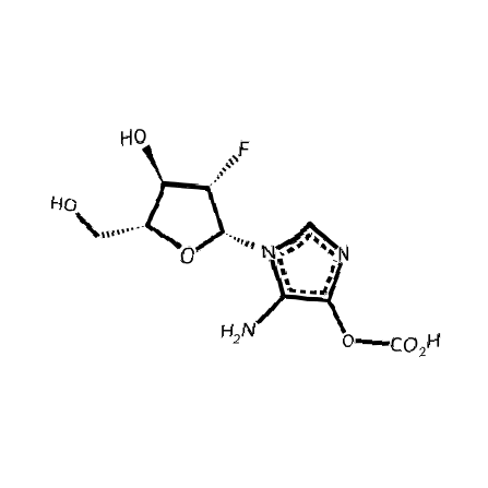 Nc1c(OC(=O)O)ncn1[C@@H]1O[C@H](CO)[C@@H](O)[C@@H]1F